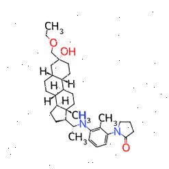 CCOC[C@@]1(O)CC[C@H]2[C@H](CC[C@@H]3[C@@H]2CC[C@]2(C)[C@@H]([C@@H](C)Nc4cccc(N5CCCC5=O)c4C)CC[C@@H]32)C1